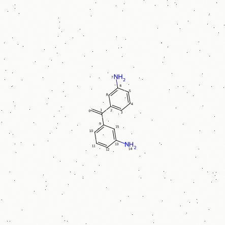 C=C(c1cccc(N)c1)c1cccc(N)c1